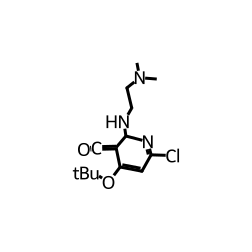 CN(C)CCNC1N=C(Cl)C=C(OC(C)(C)C)C1=C=O